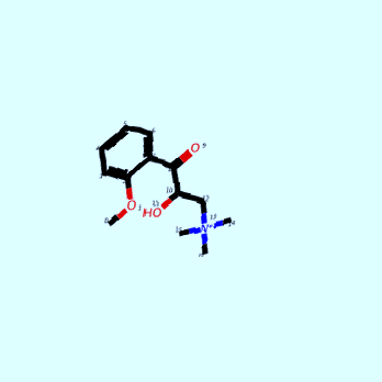 COc1ccccc1C(=O)C(O)C[N+](C)(C)C